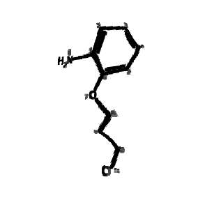 Nc1ccccc1OCCCCl